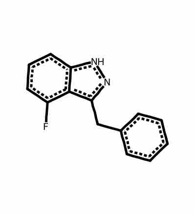 Fc1cccc2[nH]nc(Cc3ccccc3)c12